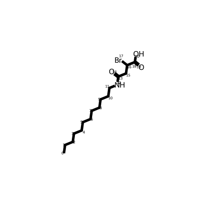 CCCCCCCCCCCCNC(=O)CC(Br)C(=O)O